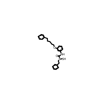 O=C(Nc1cccc(OCCCCCc2ccccc2)c1)N(S)CCc1ccccc1